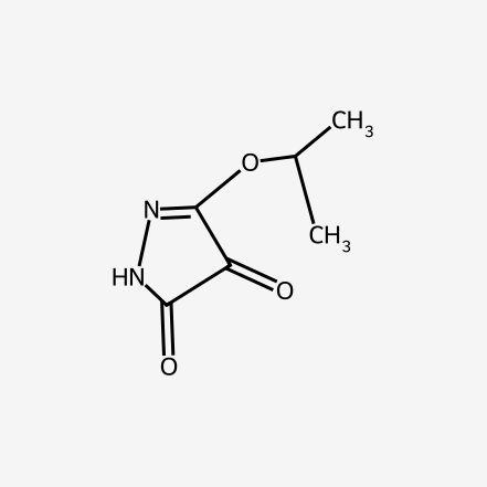 CC(C)OC1=NNC(=O)C1=O